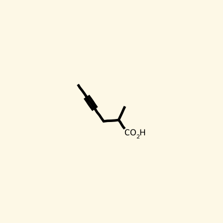 CC#CCC(C)C(=O)O